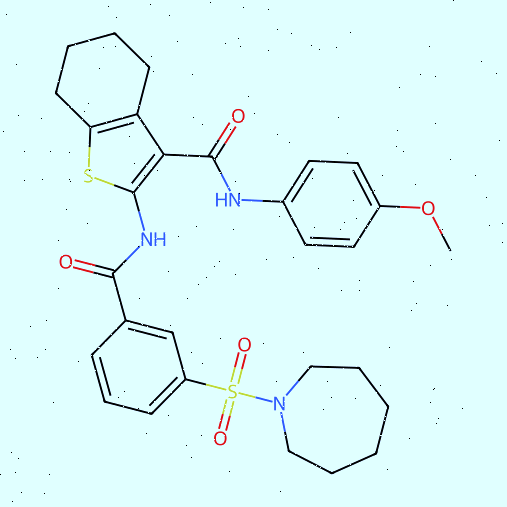 COc1ccc(NC(=O)c2c(NC(=O)c3cccc(S(=O)(=O)N4CCCCCC4)c3)sc3c2CCCC3)cc1